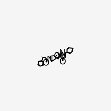 Cc1nc(-c2ccccc2)cc(=O)n1CC1(O)CCN(C(=O)C[C@@H](C)c2ccccc2)CC1